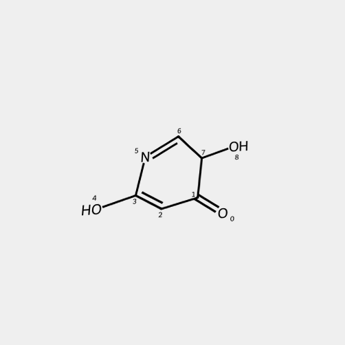 O=C1C=C(O)N=CC1O